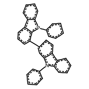 c1ccc(-n2c3ccccc3c3ccc(-c4cccc5c6ccccc6p(-c6ccccc6)c45)cc32)cc1